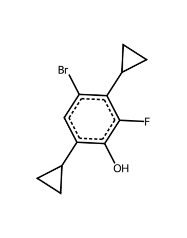 Oc1c(C2CC2)cc(Br)c(C2CC2)c1F